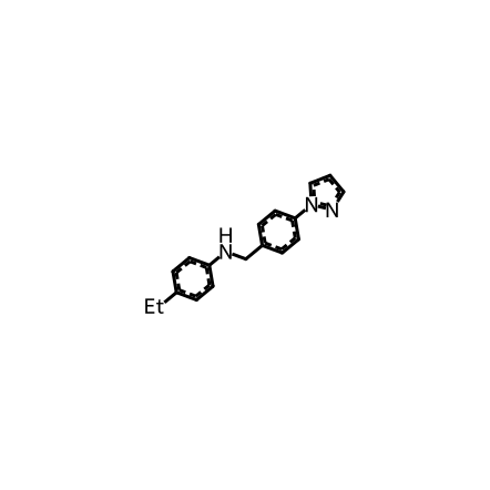 CCc1ccc(NCc2ccc(-n3cccn3)cc2)cc1